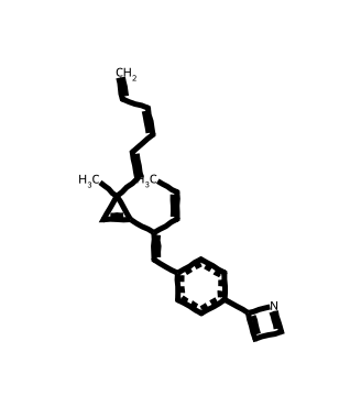 C=C/C=C\C=CC1(C)C=C1C(/C=C\C)=C/c1ccc(C2=CC=N2)cc1